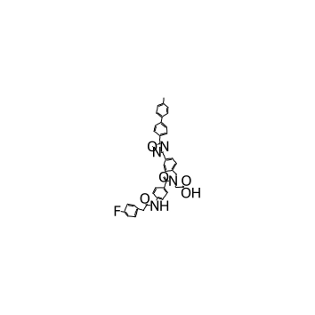 Cc1ccc(-c2ccc(-c3nc(-c4ccc(CN(CC(=O)O)C(=O)c5ccc(NC(=O)Cc6ccc(F)cc6)cc5)cc4)no3)cc2)cc1